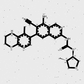 Cc1c(-c2cc3cc(NC(=O)O[C@H]4COC[C@@H]4C)ncc3c(N)c2C#N)cnc2c1NCCO2